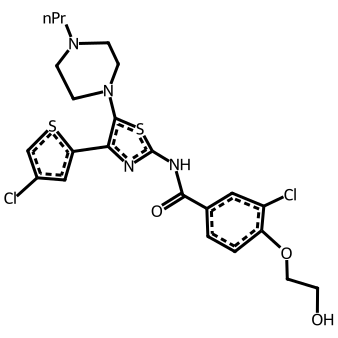 CCCN1CCN(c2sc(NC(=O)c3ccc(OCCO)c(Cl)c3)nc2-c2cc(Cl)cs2)CC1